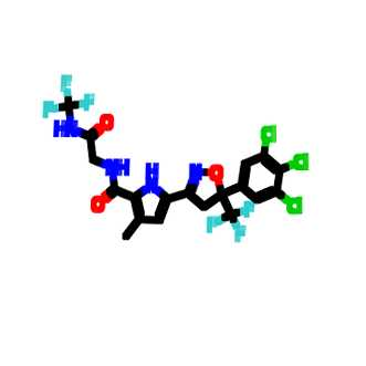 Cc1cc(C2=NOC(c3cc(Cl)c(Cl)c(Cl)c3)(C(F)(F)F)C2)[nH]c1C(=O)NCC(=O)NC(F)(F)F